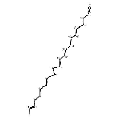 CC=CCCCCCCCCCCCCCCCCC[S+]=O